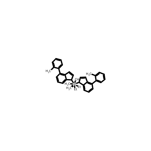 [CH2]=[Hf]([CH3])([CH3])([CH2]C)([CH2]C)([CH]1C=Cc2c(-c3ccccc3C)cccc21)[CH]1C=Cc2c(-c3ccccc3C)cccc21